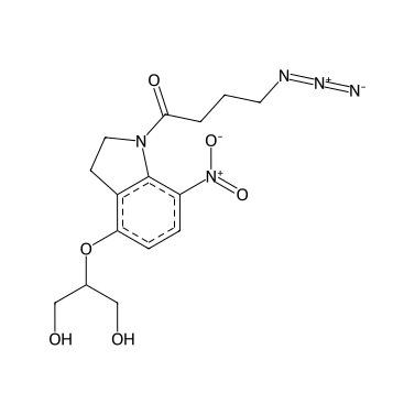 [N-]=[N+]=NCCCC(=O)N1CCc2c(OC(CO)CO)ccc([N+](=O)[O-])c21